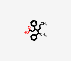 CCCC(C(C)c1ccccc1)C(CC(=O)O)c1ccccc1